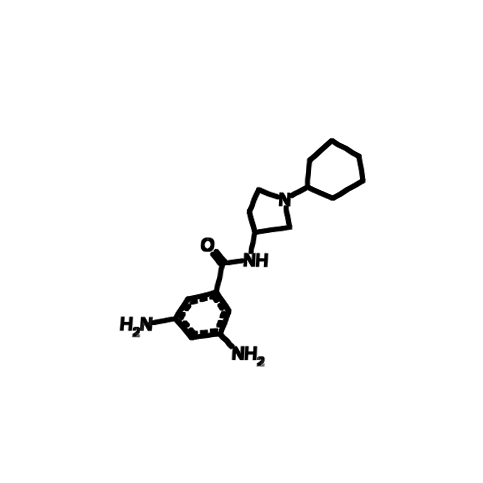 Nc1cc(N)cc(C(=O)NC2CCN(C3CCCCC3)C2)c1